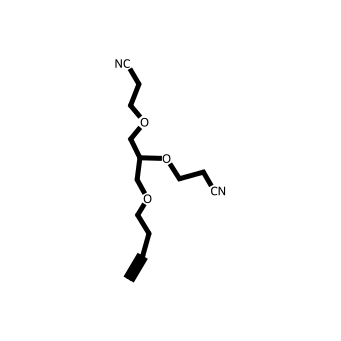 C#CCCOCC(COCCC#N)OCCC#N